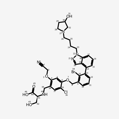 N#CCOc1cc(OCc2cccc(-c3cccc4c3cnn4CCCCN3CCC(O)C3)c2Br)c(Cl)cc1CN[C@@H](CO)C(=O)O